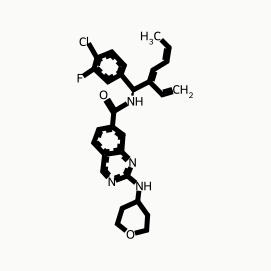 C=C/C(=C\C=C/C)[C@H](NC(=O)c1ccc2cnc(NC3CCOCC3)nc2c1)c1ccc(Cl)c(F)c1